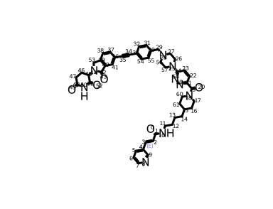 O=C(/C=C/c1cccnc1)NCCCCC1CCN(C(=O)c2ccc(N3CCN(Cc4ccc(C#Cc5ccc6c(c5)C(=O)N(C5CCC(=O)NC5=O)C6)cc4)CC3)nn2)CC1